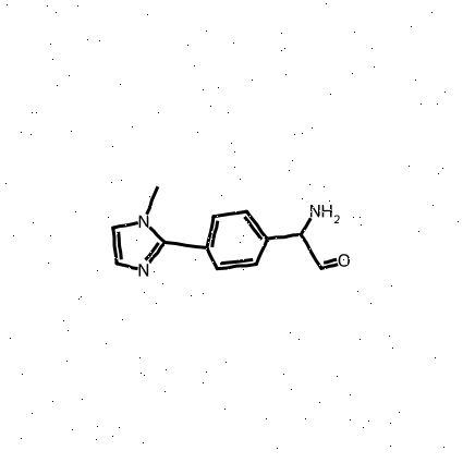 Cn1ccnc1-c1ccc(C(N)C=O)cc1